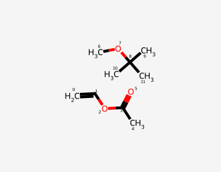 C=COC(C)=O.COC(C)(C)C